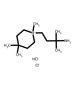 CC(C)(N)CC[N+]1(C)CCC(C)(C)CC1.Cl.[Cl-]